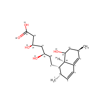 C[C@H]1C=C2C=C[C@H](C)[C@H](CC[C@@H](O)C[C@@H](O)CC(=O)O)[C@H]2C(O)C1